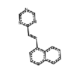 C(=Cc1cccc2ccccc12)c1ncncn1